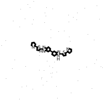 c1ccc(-c2ccc(-c3nc4cc(-c5ccc6nc(-c7ccc(-c8ccccn8)s7)[nH]c6c5)ccc4[nH]3)s2)nc1